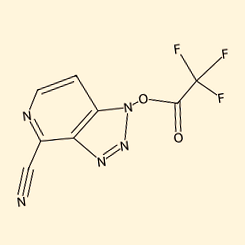 N#Cc1nccc2c1nnn2OC(=O)C(F)(F)F